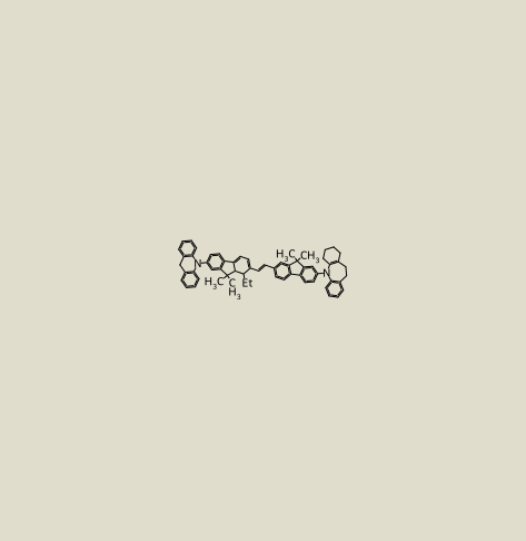 CCC1C(/C=C/c2ccc3c(c2)C(C)(C)c2cc(N4C5=C(CCCC5)CCc5ccccc54)ccc2-3)=CC=C2c3ccc(N4c5ccccc5Cc5ccccc54)cc3C(C)(C)C21